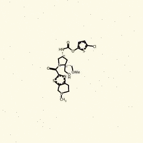 COC[C@@]1(CO)C[C@@H](NC(=O)Oc2ccc(Cl)s2)CN1C(=O)c1nc2c(s1)CN(C)CC2